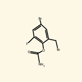 NC(=O)Oc1c(F)cc(Br)cc1CBr